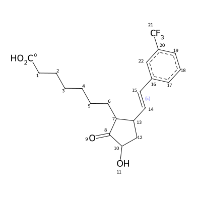 O=C(O)CCCCCCC1C(=O)C(O)CC1/C=C/c1cccc(C(F)(F)F)c1